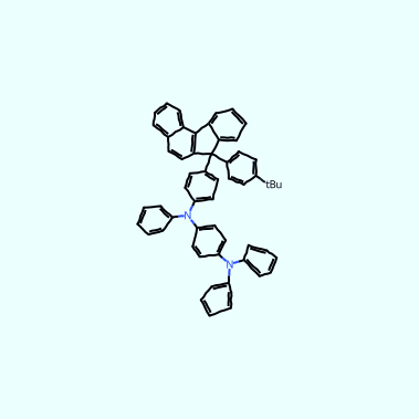 CC(C)(C)c1ccc(C2(c3ccc(N(c4ccccc4)c4ccc(N(c5ccccc5)c5ccccc5)cc4)cc3)c3ccccc3-c3c2ccc2ccccc32)cc1